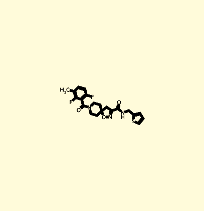 Cc1ccc(F)c(C(=O)N2CCC3(CC2)CC(C(=O)NCc2cccs2)=NO3)c1F